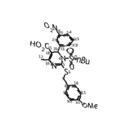 CCCCS(=O)(=O)N1C(SCc2ccc(OC)cc2)=NC(C)=C(C(=O)O)C1c1cccc([N+](=O)[O-])c1